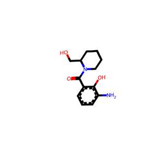 Nc1cccc(C(=O)N2CCCCC2CO)c1O